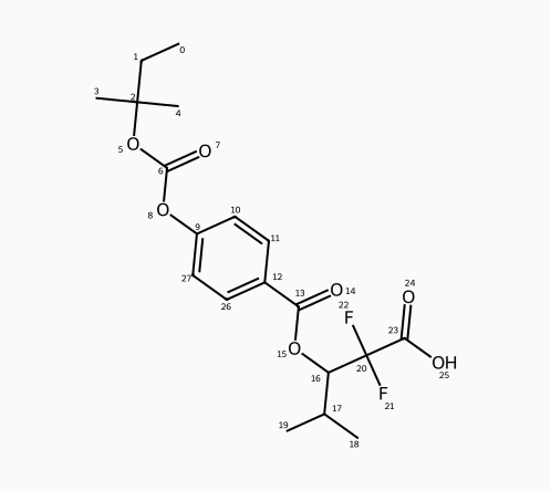 CCC(C)(C)OC(=O)Oc1ccc(C(=O)OC(C(C)C)C(F)(F)C(=O)O)cc1